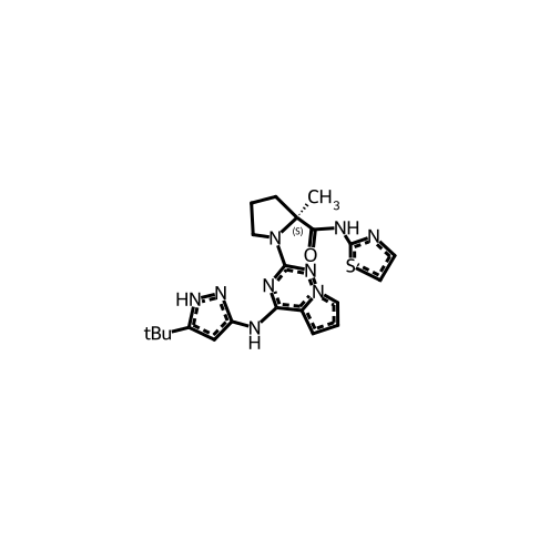 CC(C)(C)c1cc(Nc2nc(N3CCC[C@@]3(C)C(=O)Nc3nccs3)nn3cccc23)n[nH]1